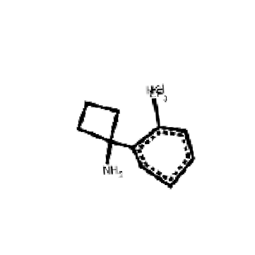 Cl.NC1(c2ccccc2C(F)(F)F)CCC1